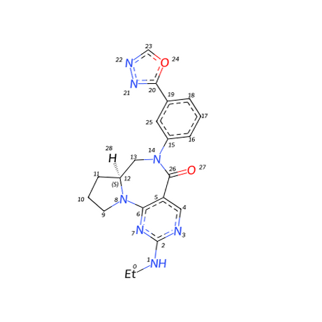 CCNc1ncc2c(n1)N1CCC[C@H]1CN(c1cccc(-c3nnco3)c1)C2=O